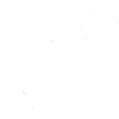 CCC(C)c1ccc2c(c1)c1cc(-c3ccc(N(c4ccccc4)c4ccccc4)cc3)ccc1n2-c1ccc(-c2c3ccccc3c(-c3ccccc3)c3ccccc23)cc1